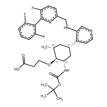 C[C@@H]1C[C@H](c2ccncc2NCc2ccc(F)c(-c3c(F)cccc3F)n2)C[C@H](NC(=O)OC(C)(C)C)[C@H]1OCCC(=O)O